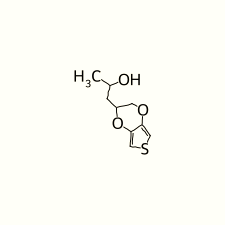 CC(O)CC1COc2cscc2O1